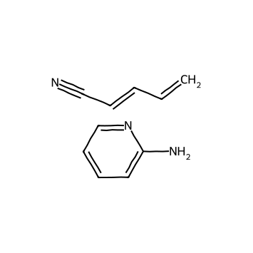 C=CC=CC#N.Nc1ccccn1